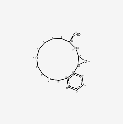 O=C[C@@H]1CCCCOCCOCc2ccccc2C2OC2N1